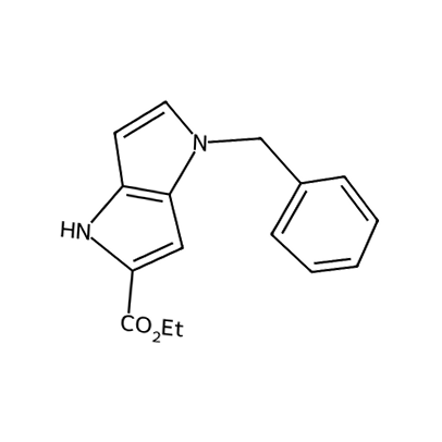 CCOC(=O)c1cc2c(ccn2Cc2ccccc2)[nH]1